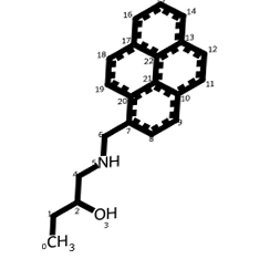 CCC(O)CNCc1ccc2ccc3cccc4ccc1c2c34